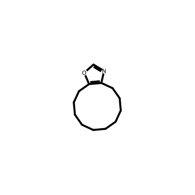 c1nc2c(o1)CCCCCCCCCC2